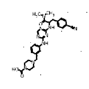 CN(C)C(=O)C(Cc1ccc(C#N)cc1)Nc1ncnc(Nc2cccc(CN3CCN(C(=O)O)CC3)c2)n1